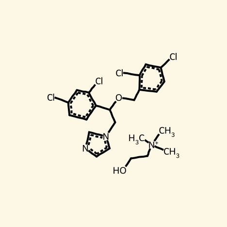 C[N+](C)(C)CCO.Clc1ccc(COC(Cn2ccnc2)c2ccc(Cl)cc2Cl)c(Cl)c1